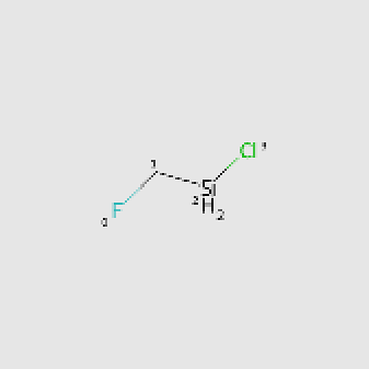 FC[SiH2]Cl